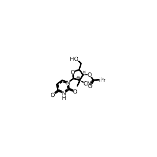 CC(C)C(=O)O[C@@H]1C(CO)OC(n2ccc(=O)[nH]c2=O)[C@]1(C)C#N